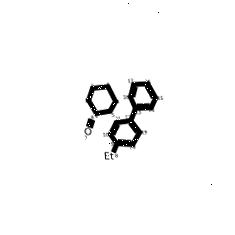 C1CCCCC1.C=O.CCc1ccc(-c2ccccc2)cc1